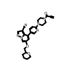 C#CC(=O)N1CCN(c2ccc(-c3cc(OCC4CCCCO4)cn4ncc(C#N)c34)cn2)CC1